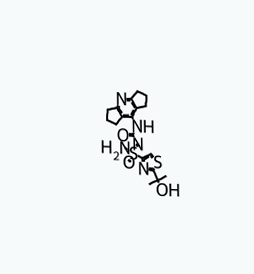 CC(C)(O)c1nc([S@](N)(=O)=NC(=O)Nc2c3c(nc4c2CCC4)CCC3)cs1